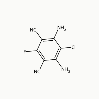 N#Cc1c(N)c(Cl)c(N)c(C#N)c1F